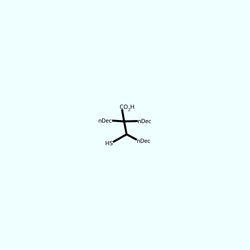 CCCCCCCCCCC(S)C(CCCCCCCCCC)(CCCCCCCCCC)C(=O)O